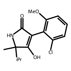 COc1cccc(Cl)c1C1=C(O)C(C)(C(C)C)NC1=O